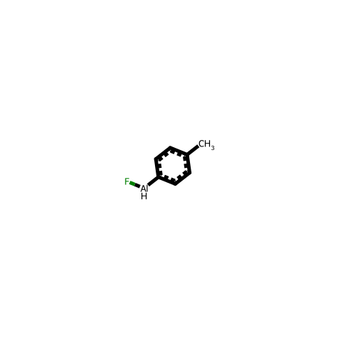 Cc1cc[c]([AlH][F])cc1